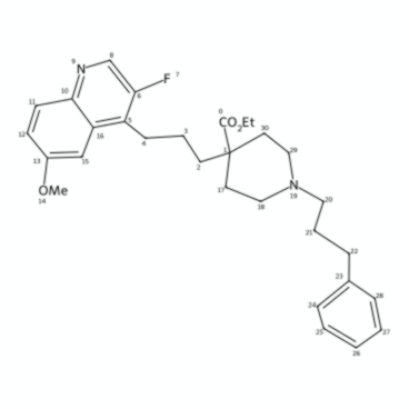 CCOC(=O)C1(CCCc2c(F)cnc3ccc(OC)cc23)CCN(CCCc2ccccc2)CC1